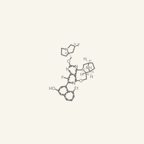 CCc1cccc2cc(O)cc(-c3nc4c5c(nc(OC[C@]67CCCN6C[C@@H](F)C7)nc5c3F)N3C[C@H]5CC[C@H](N5)[C@@H]3CO4)c12